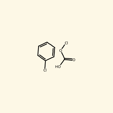 Clc1ccccc1.O=C(O)OCl